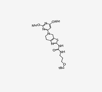 COc1cc(N2CCc3nc(NC(=O)NCCCOC(C)(C)C)sc3C2)nc(OC)n1